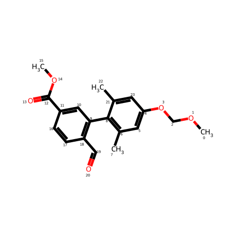 COCOc1cc(C)c(-c2cc(C(=O)OC)ccc2C=O)c(C)c1